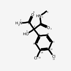 CNC(=O)C(O)(C(N)=O)c1ccc(Cl)c(Cl)c1